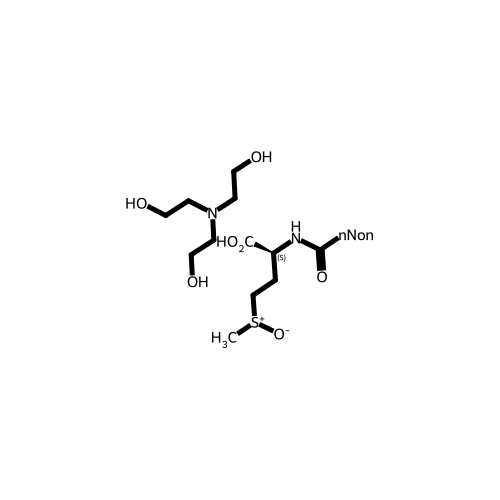 CCCCCCCCCC(=O)N[C@@H](CC[S+](C)[O-])C(=O)O.OCCN(CCO)CCO